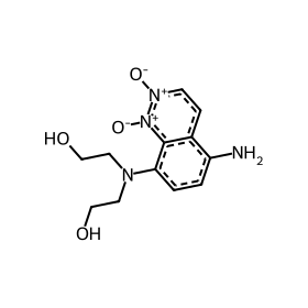 Nc1ccc(N(CCO)CCO)c2c1cc[n+]([O-])[n+]2[O-]